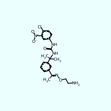 CC(=NOCCN)c1cccc(C(C)(C)NC(=O)Nc2ccc(Cl)c([N+](=O)[O-])c2)c1